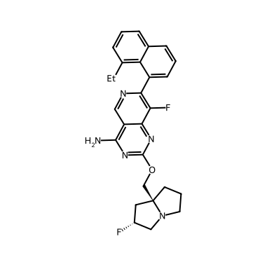 CCc1cccc2cccc(-c3ncc4c(N)nc(OC[C@@]56CCCN5C[C@H](F)C6)nc4c3F)c12